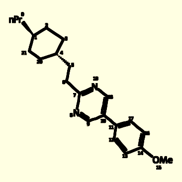 CCC[C@H]1CC[C@H](CCc2ncc(-c3ccc(OC)cc3)cn2)CC1